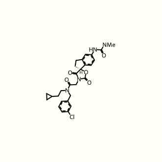 CNC(=O)Nc1ccc2c(c1)CC[C@@]21OC(=O)N(CC(=O)N(CCC2CC2)Cc2cccc(Cl)c2)C1=O